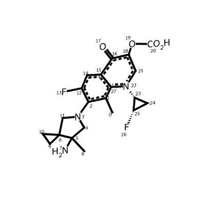 Cc1c(N2CC(C)(N)C3(CC3)C2)c(F)cc2c(=O)c(OC(=O)O)cn([C@@H]3C[C@@H]3F)c12